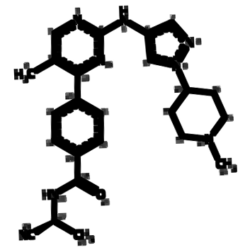 Cc1cnc(Nc2cnn(C3CCN(C)CC3)c2)nc1-c1ccc(C(=O)N[C@@H](C)C#N)cc1